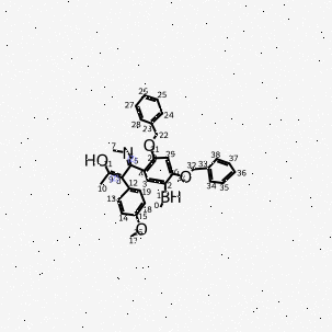 CBc1cc(C(=N/C)/C(=C(/C)O)c2ccc(OC)cc2)c(OCc2ccccc2)cc1OCc1ccccc1